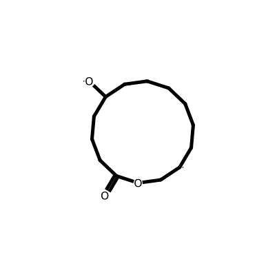 [O]C1CCCCCC[CH]COC(=O)CCC1